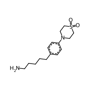 NCCCCCc1ccc(N2CCS(=O)(=O)CC2)cc1